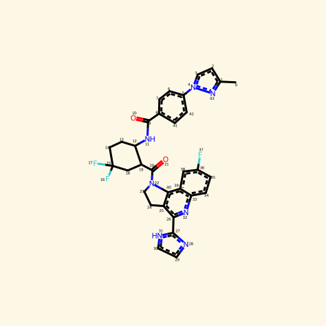 Cc1ccn(-c2ccc(C(=O)NC3CCC(F)(F)CC3C(=O)N3CCc4c(-c5ncc[nH]5)nc5ccc(F)cc5c43)cc2)n1